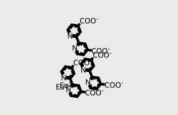 O=C([O-])c1ccnc(-c2cc(C(=O)[O-])ccn2)c1.O=C([O-])c1ccnc(-c2cc(C(=O)[O-])ccn2)c1.O=C([O-])c1ccnc(-c2cc(C(=O)[O-])ccn2)c1.[Eu+3].[Eu+3]